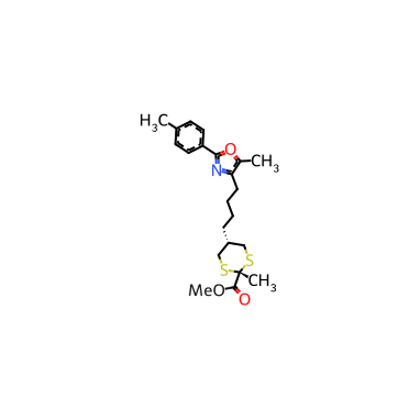 COC(=O)[C@]1(C)SC[C@H](CCCCc2nc(-c3ccc(C)cc3)oc2C)CS1